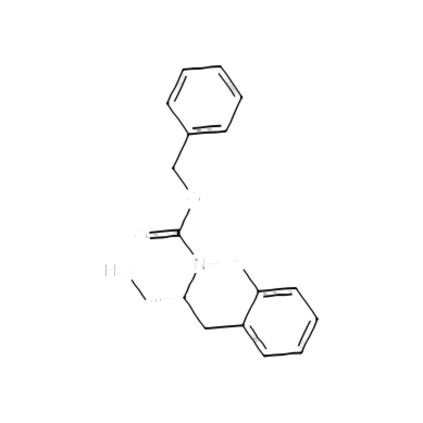 O=C(N[C@@H](CO)Cc1ccccc1F)OCc1ccccc1